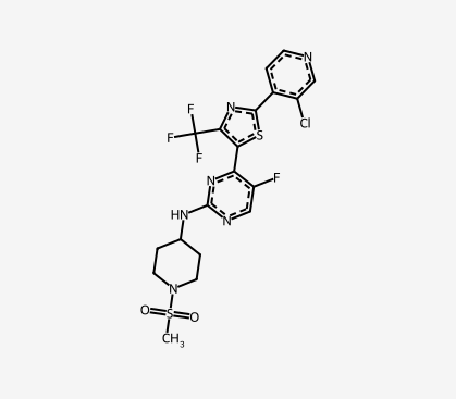 CS(=O)(=O)N1CCC(Nc2ncc(F)c(-c3sc(-c4ccncc4Cl)nc3C(F)(F)F)n2)CC1